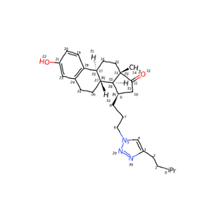 CC(C)CCc1cn(CCC[C@@H]2CC(=O)[C@@]3(C)CC[C@@H]4c5ccc(O)cc5CC[C@H]4[C@H]23)nn1